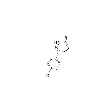 COc1ccc(-c2ccc(=S)[nH]n2)cc1